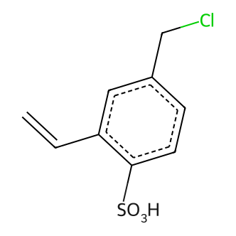 C=Cc1cc(CCl)ccc1S(=O)(=O)O